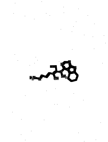 C=C/C(=C(O)\C=C\C=NN)N(N)c1ncnc2sc3c(c12)CCCC3